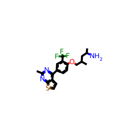 Cc1nc(-c2ccc(OCC(C)CC(C)N)c(C(F)(F)F)c2)c2ccsc2n1